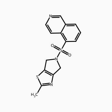 Cc1nc2c(s1)CN(S(=O)(=O)c1cccc3cnccc13)C2